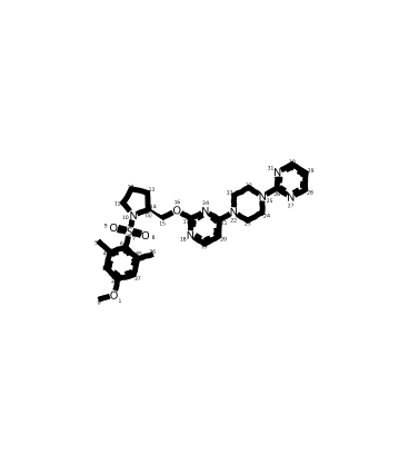 COc1cc(C)c(S(=O)(=O)N2CCC[C@H]2COc2nccc(N3CCN(c4ncccn4)CC3)n2)c(C)c1